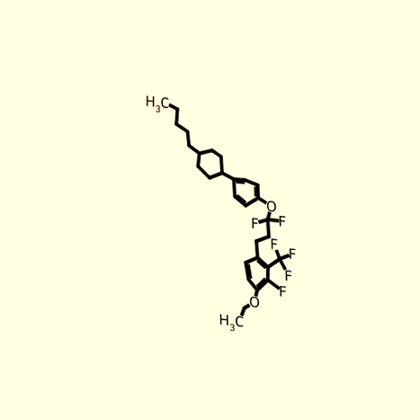 CCCCCC1CCC(c2ccc(OC(F)(F)CCc3ccc(OCC)c(F)c3C(F)(F)F)cc2)CC1